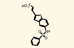 O=C(O)/C=C/c1cc2cc(NS(=O)(=O)c3ccccc3)ccc2s1